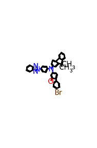 CC1(C)c2ccccc2-c2ccc(N(c3ccc(-n4nc5ccccc5n4)cc3)c3ccc4c(c3)oc3cc(Br)ccc34)cc21